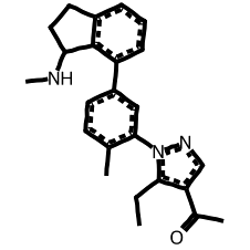 CCc1c(C(C)=O)cnn1-c1cc(-c2cccc3c2C(NC)CC3)ccc1C